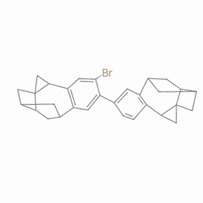 Brc1cc2c(cc1-c1ccc3c(c1)C1CC4CC5(CC35)C4C1)C1CC3CC4(CC24)C3C1